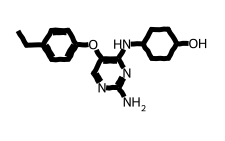 CCc1ccc(Oc2cnc(N)nc2NC2CCC(O)CC2)cc1